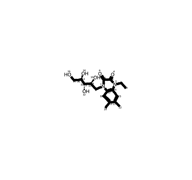 CCn1c(=O)c(=O)n(C[C@H](O)[C@H](O)[C@H](O)CO)c2cc(C)c(C)cc21